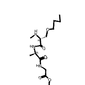 CCCCOC[C@@H](NC)C(=O)N[C@H](C)C(=O)NCC(=O)OC